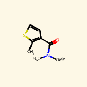 CON(C)C(=O)c1ccsc1C